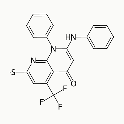 O=c1cc(Nc2ccccc2)n(-c2ccccc2)c2nc([S])cc(C(F)(F)F)c12